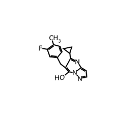 Cc1ccc(Cc2c(C3CC3)nc3ccnn3c2O)cc1F